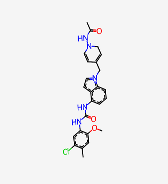 COc1cc(C)c(Cl)cc1NC(=O)Nc1cccc2c1ccn2CC1=CCN(NC(C)=O)C=C1